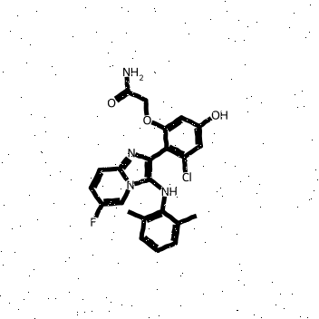 Cc1cccc(C)c1Nc1c(-c2c(Cl)cc(O)cc2OCC(N)=O)nc2ccc(F)cn12